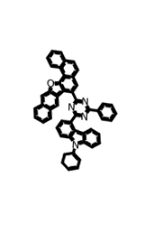 C1=CCCC(n2c3ccccc3c3c(-c4nc(-c5ccccc5)nc(-c5cc6ccc7ccccc7c6c6oc7cc8ccccc8cc7c56)n4)cccc32)=C1